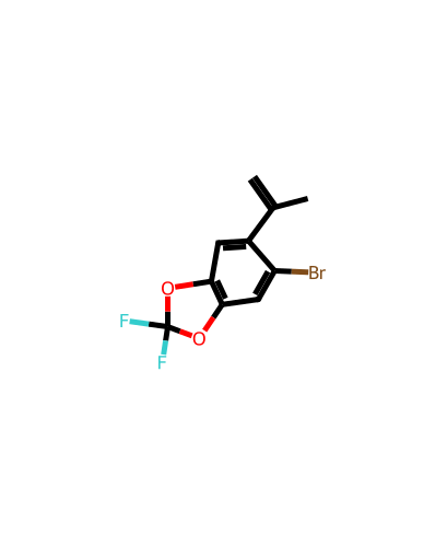 C=C(C)c1cc2c(cc1Br)OC(F)(F)O2